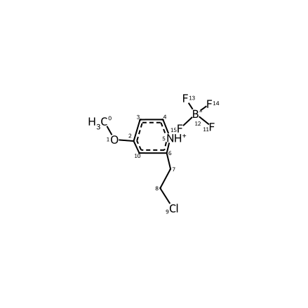 COc1cc[nH+]c(CCCl)c1.F[B-](F)(F)F